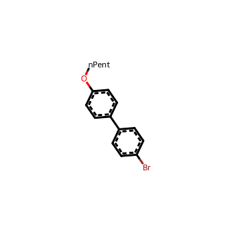 CCCCCOc1ccc(-c2ccc(Br)cc2)cc1